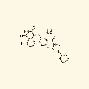 O.O.O=C(c1cc(Cn2c(=O)[nH]c(=O)c3c(F)cccc32)ccc1F)N1CCN(c2ncccn2)CC1